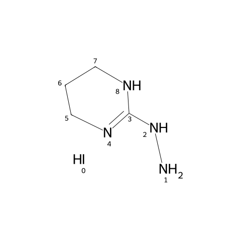 I.NNC1=NCCCN1